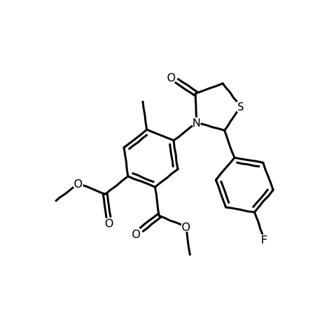 COC(=O)c1cc(C)c(N2C(=O)CSC2c2ccc(F)cc2)cc1C(=O)OC